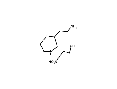 NCCC1CNCCO1.O=S(=O)(O)CCO